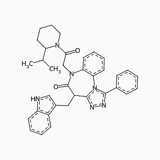 CC(C)C1CCCCN1C(=O)CN1C(=O)C(Cc2c[nH]c3ccccc23)c2nnc(-c3ccccc3)n2-c2ccccc21